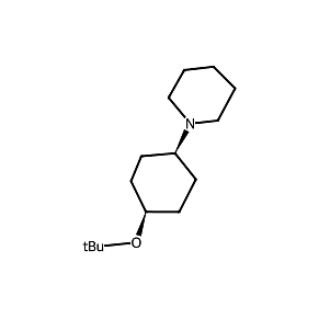 CC(C)(C)O[C@H]1CC[C@@H](N2CCCCC2)CC1